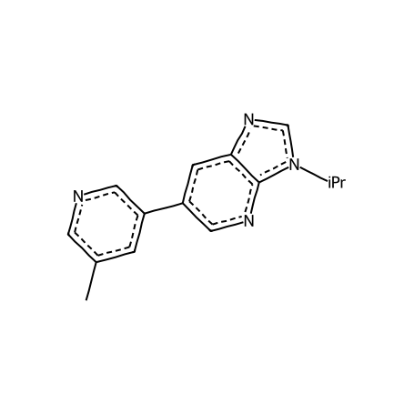 Cc1cncc(-c2cnc3c(c2)ncn3C(C)C)c1